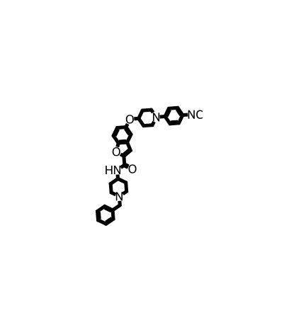 [C-]#[N+]c1ccc(N2CCC(Oc3ccc4oc(C(=O)NC5CCN(Cc6ccccc6)CC5)cc4c3)CC2)cc1